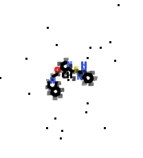 Cc1c(OCCN2CCc3ccccc3C2)ccnc1CSc1nc2ccccc2[nH]1